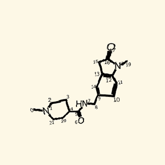 CN1CCC(C(=O)NCc2ccc3c(c2)CC(=O)N3C)CC1